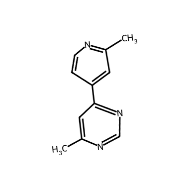 Cc1cc(-c2cc(C)ncn2)ccn1